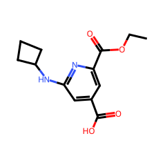 CCOC(=O)c1cc(C(=O)O)cc(NC2CCC2)n1